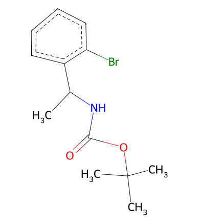 CC(NC(=O)OC(C)(C)C)c1ccccc1Br